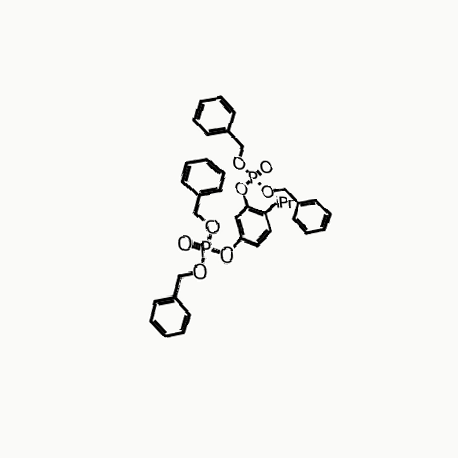 CC(C)c1ccc(OP(=O)(OCc2ccccc2)OCc2ccccc2)cc1OP(=O)(OCc1ccccc1)OCc1ccccc1